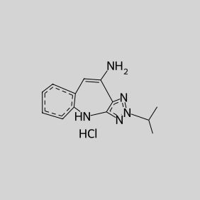 CC(C)n1nc2c(n1)C(N)=Cc1ccccc1N2.Cl